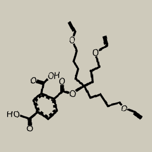 C=COCCCCC(CCCCOC=C)(CCCOC=C)OC(=O)c1ccc(C(=O)O)cc1C(=O)O